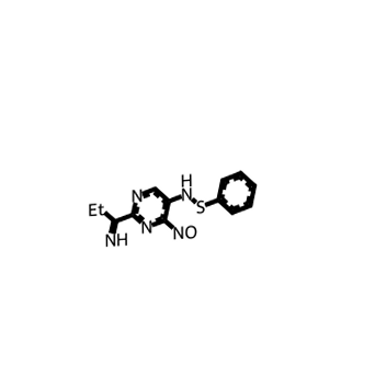 CCC(=N)c1ncc(NSc2ccccc2)c(N=O)n1